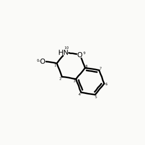 [O]C1Cc2ccccc2ON1